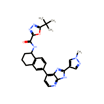 Cn1cc(-c2nc3c(-c4ccc5c(c4)CCCC5NC(=O)c4nnc(C(C)(C)C)o4)ccnc3[nH]2)cn1